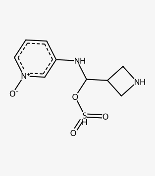 O=[SH](=O)OC(Nc1ccc[n+]([O-])c1)C1CNC1